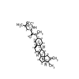 CN[C@H](CC(C)C)C(=O)N(C)[C@H]1CC[C@@]2(C)C(=CC[C@H]3[C@@H]4CC[C@@H]5[C@H](C)N(C)C[C@@]54CC[C@@H]32)C1